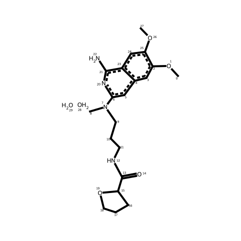 COc1cc2cc(N(C)CCCNC(=O)C3CCCO3)nc(N)c2cc1OC.O.O